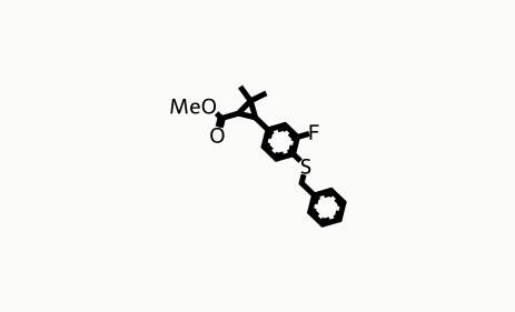 COC(=O)C1C(c2ccc(SCc3ccccc3)c(F)c2)C1(C)C